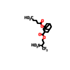 O=C(O)CCCC(=O)OC12CC3CC(C1)CC(C(=O)OCCC(C(F)(F)F)S(=O)(=O)O)(C3)C2